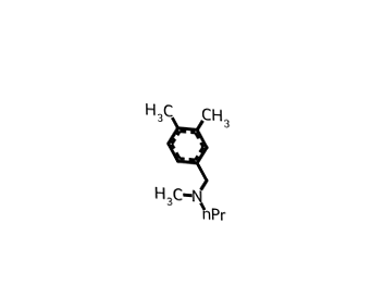 CCCN(C)Cc1ccc(C)c(C)c1